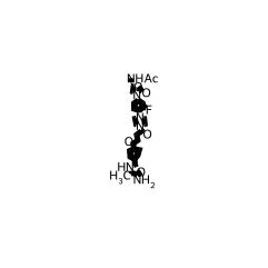 CC(=O)NC[C@H]1CN(c2ccc(N3CCN(C(=O)CCC(=O)c4ccc(CNC(C)C(N)=O)cc4)CC3)c(F)c2)C(=O)O1